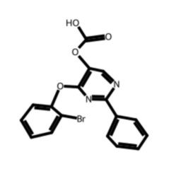 O=C(O)Oc1cnc(-c2ccccc2)nc1Oc1ccccc1Br